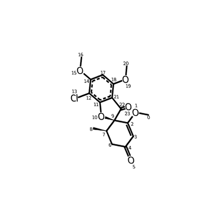 COC1=CC(=O)C[C@@H](C)[C@@]12Oc1c(Cl)c(OC)cc(OC)c1C2=O